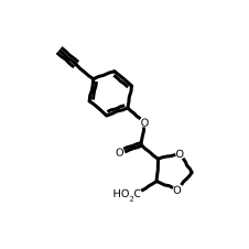 C#Cc1ccc(OC(=O)C2OCOC2C(=O)O)cc1